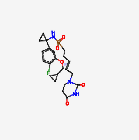 O=C1CCN(C/C=C/CCS(=O)(=O)NC2(c3ccc(F)c(OCC4CC4)c3)CC2)C(=O)N1